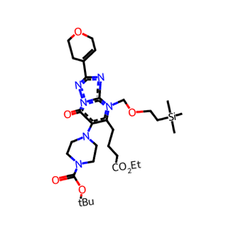 CCOC(=O)CCCc1c(N2CCN(C(=O)OC(C)(C)C)CC2)c(=O)n2nc(C3=CCOCC3)nc2n1COCC[Si](C)(C)C